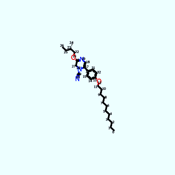 CCCCCCCCCCCCOc1ccc(C2=CN=C(OC[C@@H](C)CC)CN2C#N)cc1